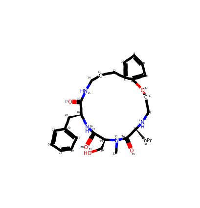 CCC[C@@H]1NCCOc2ccccc2CCCNC(=O)[C@H](Cc2ccccc2)NC(=O)[C@H](CO)N(C)C1=O